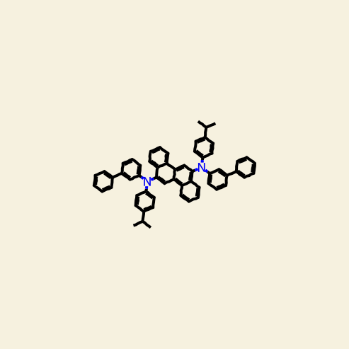 CC(C)c1ccc(N(c2cccc(-c3ccccc3)c2)c2cc3c4ccccc4c(N(c4ccc(C(C)C)cc4)c4cccc(-c5ccccc5)c4)cc3c3ccccc23)cc1